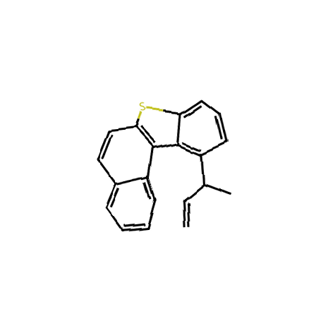 C=CC(C)c1cccc2sc3ccc4ccccc4c3c12